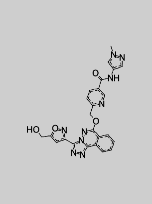 Cn1cc(NC(=O)c2ccc(COc3nn4c(-c5cc(CO)on5)nnc4c4ccccc34)nc2)cn1